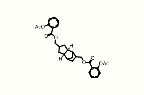 CC(=O)Oc1ccccc1C(=O)OCC1C[C@@H]2C3CC(CC3COC(=O)c3ccccc3OC(C)=O)[C@@H]2C1